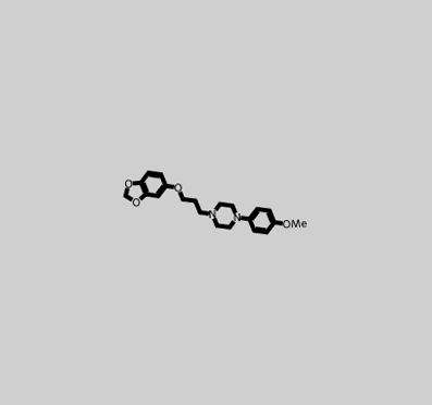 COc1ccc(N2CCN(CCCOc3ccc4c(c3)OCO4)CC2)cc1